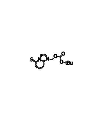 CC(C)(C)OC(=O)OCn1ccn2c(=S)cccc12